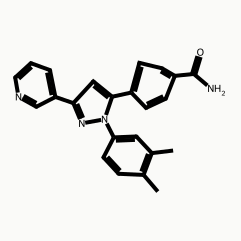 Cc1ccc(-n2nc(-c3cccnc3)cc2-c2ccc(C(N)=O)cc2)cc1C